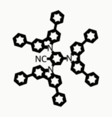 N#Cc1c(-n2c3ccc(-c4ccccc4)cc3c3cc(-c4ccccc4)ccc32)cc(-n2c3ccc(-c4ccccc4)cc3c3cc(-c4ccccc4)ccc32)cc1-n1c2ccc(-c3ccccc3)cc2c2cc(-c3ccccc3)ccc21